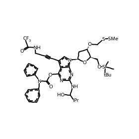 CSSCO[C@H]1C[C@H](n2cc(C#CCNC(=O)C(F)(F)F)c3c(OC(=O)N(c4ccccc4)c4ccccc4)nc(NC(O)C(C)C)nc32)O[C@@H]1CO[Si](C)(C)C(C)(C)C